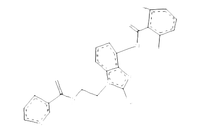 Cl.O=C(NCCn1c(C(F)(F)F)nc2c(NC(=O)c3c(Cl)cccc3Cl)cccc21)c1cccnc1